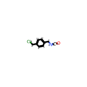 O=C=NCc1ccc(CCl)cc1